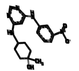 CC1(O)CCC(Nc2cc(Nc3cccc([N+](=O)[O-])c3)ncn2)CC1